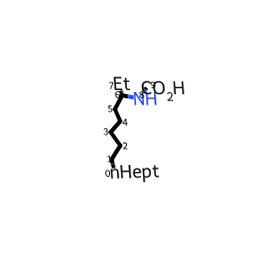 CCCCCCCCCCCCC(CC)NC(=O)O